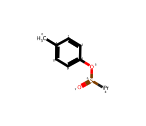 Cc1ccc(OS(=O)C(C)C)cc1